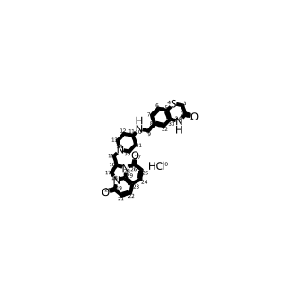 Cl.O=C1CSc2ccc(CNC3CCN(CC4Cn5c(=O)ccc6ccc(=O)n4c65)CC3)cc2N1